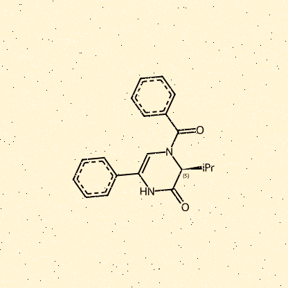 CC(C)[C@H]1C(=O)NC(c2ccccc2)=CN1C(=O)c1ccccc1